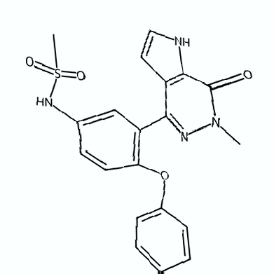 Cn1nc(-c2cc(NS(C)(=O)=O)ccc2Oc2ccccc2)c2cc[nH]c2c1=O